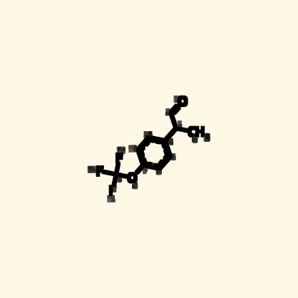 CC(C=O)c1ccc(OC(F)(F)F)cc1